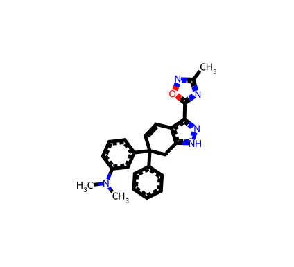 Cc1noc(-c2n[nH]c3c2C=CC(c2ccccc2)(c2cccc(N(C)C)c2)C3)n1